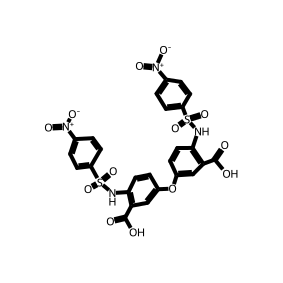 O=C(O)c1cc(Oc2ccc(NS(=O)(=O)c3ccc([N+](=O)[O-])cc3)c(C(=O)O)c2)ccc1NS(=O)(=O)c1ccc([N+](=O)[O-])cc1